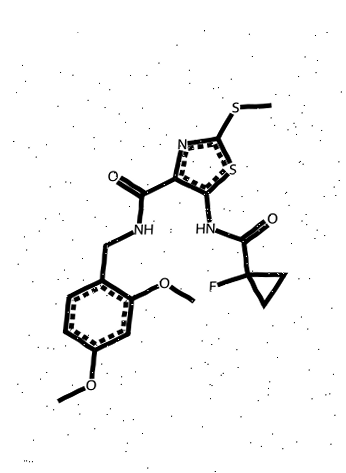 COc1ccc(CNC(=O)c2nc(SC)sc2NC(=O)C2(F)CC2)c(OC)c1